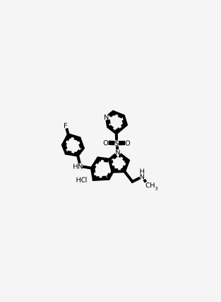 CNCc1cn(S(=O)(=O)c2cccnc2)c2cc(Nc3ccc(F)cc3)ccc12.Cl